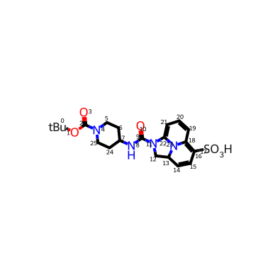 CC(C)(C)OC(=O)N1CCC(NC(=O)N2CC3C=CC(S(=O)(=O)O)=C4C=CC=C2N43)CC1